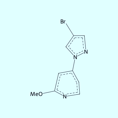 COc1cc(-n2cc(Br)cn2)ccn1